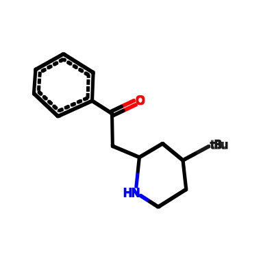 CC(C)(C)C1CCNC(CC(=O)c2ccccc2)C1